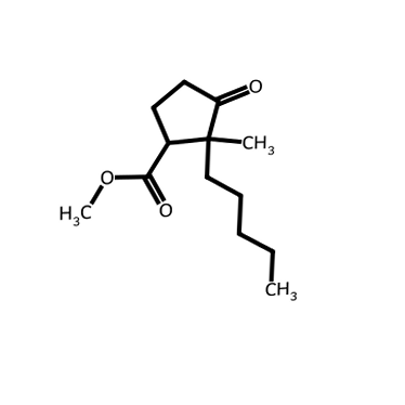 CCCCCC1(C)C(=O)CCC1C(=O)OC